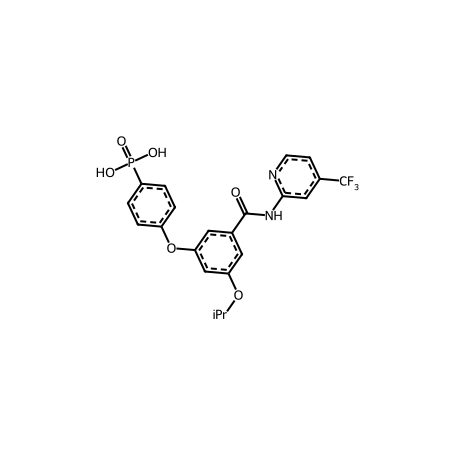 CC(C)Oc1cc(Oc2ccc(P(=O)(O)O)cc2)cc(C(=O)Nc2cc(C(F)(F)F)ccn2)c1